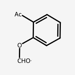 CC(=O)c1ccccc1O[C]=O